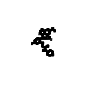 Cc1cc(N=S)cc2ncnc(Nc3ccc(F)cc3OCC(=O)NC3CCOCC3)c12